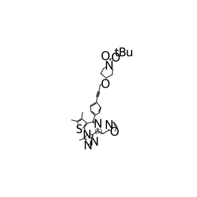 Cc1sc2c(c1C)C(c1ccc(C#CCOC3CCN(C(=O)OC(C)(C)C)CC3)cc1)=N[C@@H](Cc1ncco1)c1nnc(C)n1-2